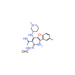 CC(=N)C(/C(N)=N\NC=O)=C(\NC1CCCN(C)C1)c1oc2ccc(C)cc2c1C